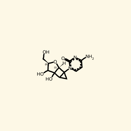 Nc1ccn(C23CC2C2(O)C(O)[C@@H](CO)O[C@H]23)c(=O)n1